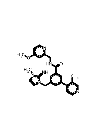 COc1ccnc(CNC(=O)c2cc(Cn3ccn(C)c3=N)cc(-c3ccncc3C)c2)c1